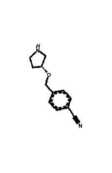 N#Cc1ccc(CO[C@H]2CCNC2)cc1